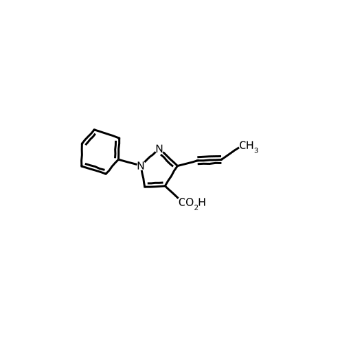 CC#Cc1nn(-c2ccccc2)cc1C(=O)O